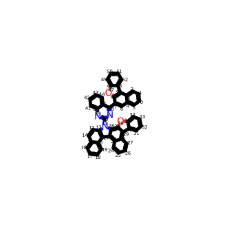 c1ccc2c(c1)cc(-c1nc(-n3c4ccc5ccccc5c4c4c5ccccc5c5c6ccccc6oc5c43)nc3ccccc13)c1oc3ccccc3c12